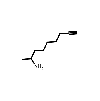 C#CCCCCCC(C)N